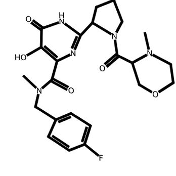 CN(Cc1ccc(F)cc1)C(=O)c1nc(C2CCCN2C(=O)C2COCCN2C)[nH]c(=O)c1O